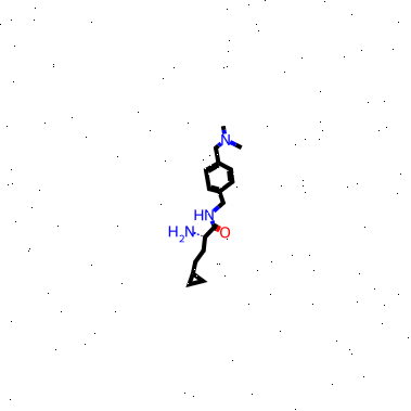 CN(C)Cc1ccc(CNC(=O)[C@@H](N)CCC2CC2)cc1